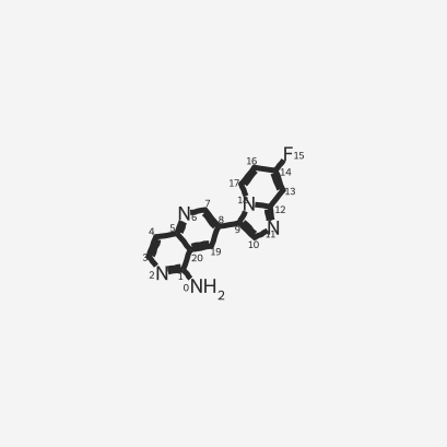 Nc1nccc2ncc(-c3cnc4cc(F)ccn34)cc12